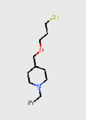 CC(C)CN1CCC(COCCCS)CC1